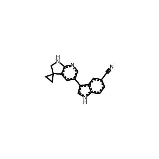 N#Cc1ccc2[nH]cc(-c3cnc4c(c3)C3(CC3)CN4)c2c1